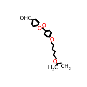 C=CC(=C)OCCCCCCOc1ccc(C(=O)Oc2ccc(C=O)cc2)cc1